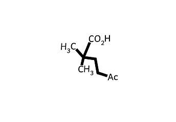 CC(=O)CCC(C)(C)C(=O)O